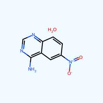 Nc1ncnc2ccc([N+](=O)[O-])cc12.O